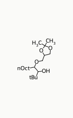 CCCCCCCCC(OCC1COC(C)(C)O1)C(O)C(C)(C)C